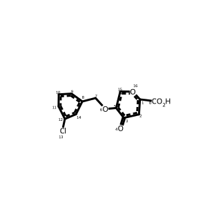 O=C(O)c1cc(=O)c(OCc2cccc(Cl)c2)co1